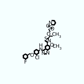 CCC(OCCS(=O)(=O)c1ccccn1)c1nc(-c2cc3c(Nc4ccc(OCc5cccc(F)c5)c(Cl)c4)ncnc3cc2OC)cs1